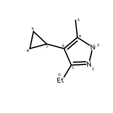 CCC1=N[N]C(C)=C1C1CC1